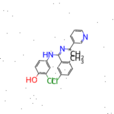 C=C(/N=C(/Nc1ccc(O)c(Cl)c1)c1cc(Cl)ccc1C)c1cccnc1